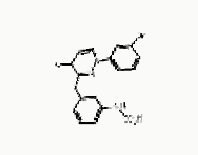 O=C(O)Nc1cccc(Cc2nn(-c3cccc(Br)c3)ccc2=O)c1